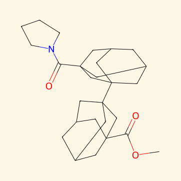 COC(=O)C12CC3CC(C1)CC(C14CC5CC(CC(C(=O)N6CCCC6)(C5)C1)C4)(C3)C2